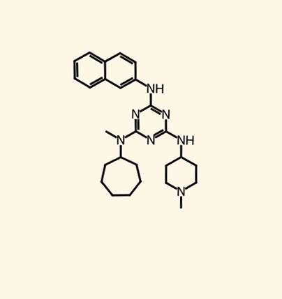 CN1CCC(Nc2nc(Nc3ccc4ccccc4c3)nc(N(C)C3CCCCCC3)n2)CC1